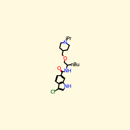 CCCCC(COCC1CCN(C(C)C)CC1)NC(=O)c1ccc2c(Cl)c[nH]c2c1